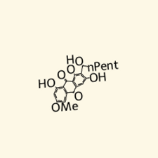 CCCCCC(=O)c1c(O)cc2c(c1O)C(=O)c1c(O)cc(OC)cc1C2=O